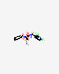 C[C@@]1(CN(O)C(=O)c2ccccc2)CO[C@H](CNC(=O)c2ccc(Cl)nc2Cl)[C@H]1O